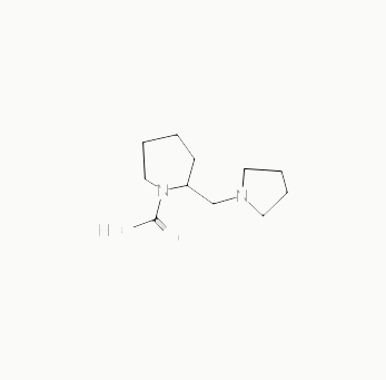 CC(=O)N1CCCCC1CN1CCCC1